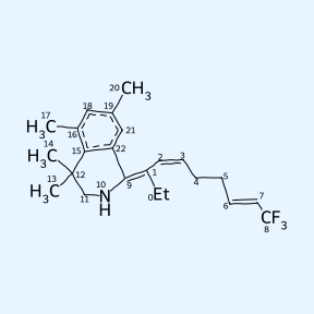 CCC(/C=C\CC/C=C/C(F)(F)F)=C1\NCC(C)(C)c2c(C)cc(C)cc21